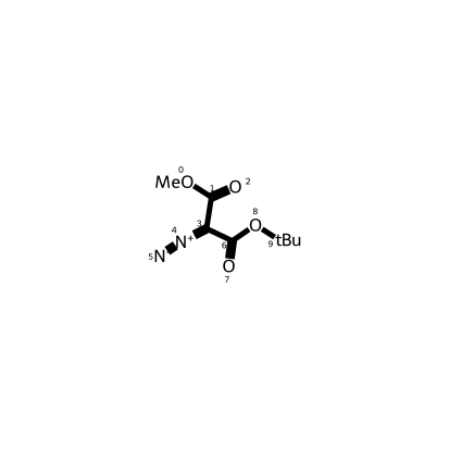 COC(=O)C(=[N+]=[N-])C(=O)OC(C)(C)C